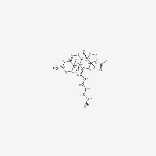 CC(=O)[C@H]1CC[C@H]2C3CC=C4C[C@@H](O)CCC4(C)[C@H]3[C@H](OOOOOOO)CC12C